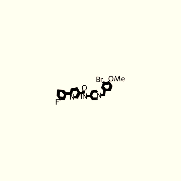 COc1ccc(CN2CCC(NC(=O)c3ccc(-c4cccc(F)c4)nc3)CC2)cc1Br